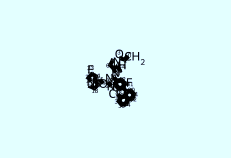 C=CC(=O)N1CCC2[C@H]1CN2c1nc(OC[C@@]23CCCN2C[C@H](F)C3)nc2cc(-c3cccc4cccc(Cl)c34)c(F)cc12